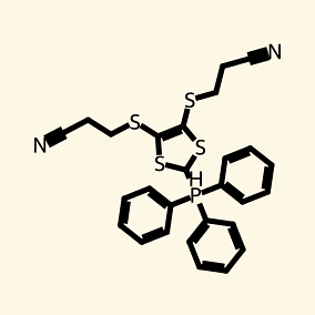 N#CCCSC1=C(SCCC#N)SC([PH](c2ccccc2)(c2ccccc2)c2ccccc2)S1